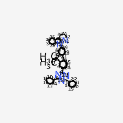 CC1(C)c2cc(-c3nc(-c4ccccc4)nc(-c4ccccc4)n3)ccc2-c2ccc(-n3c4c(c5ccccc53)CCC=N4)cc21